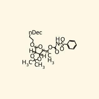 CCCCCCCCCCCCO[C@H]1O[C@H]([C@@H](C)OC(=O)NS(=O)(=O)c2ccccc2)[C@@H]2OC(C)(C)O[C@H]12